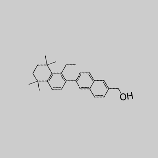 CCc1c(-c2ccc3cc(CO)ccc3c2)ccc2c1C(C)(C)CCC2(C)C